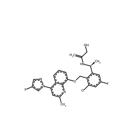 C=C(CO)N[C@@H](C)c1cc(F)cc(Cl)c1COc1cccc2c(-n3cc(F)cn3)cc(C)nc12